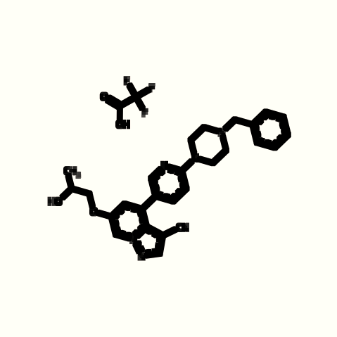 CC(O)COc1cc(-c2ccc(N3CCN(Cc4ccccc4)CC3)nc2)c2c(C#N)cnn2c1.O=C(O)C(F)(F)F